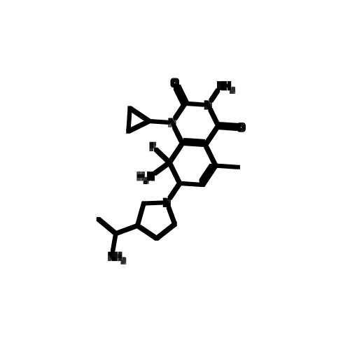 CC1=CC(N2CCC(C(C)N)C2)C(N)(F)c2c1c(=O)n(N)c(=O)n2C1CC1